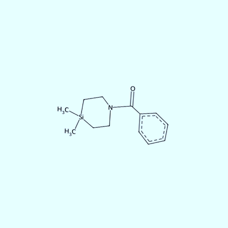 C[Si]1(C)CCN(C(=O)c2ccccc2)CC1